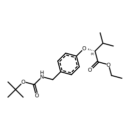 CCOC(=O)[C@H](Oc1ccc(CNC(=O)OC(C)(C)C)cc1)C(C)C